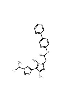 Cc1nn(CC(=O)Nc2ccc(-c3cnccn3)cn2)c(C)c1-c1cnn(C(C)C)c1